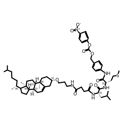 CSCC[C@H](NC(=O)[C@H](CC(C)C)NC(=O)CCC(=O)NCCCO[C@H]1CC[C@@]2(C)C(=CC[C@@H]3[C@@H]2CC[C@]2(C)C([C@H](C)CCCC(C)C)CC[C@@H]32)C1)C(=O)Nc1ccc(COC(=O)Oc2ccc([N+](=O)[O-])cc2)cc1